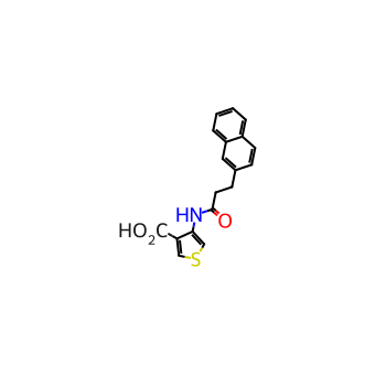 O=C(CCc1ccc2ccccc2c1)Nc1cscc1C(=O)O